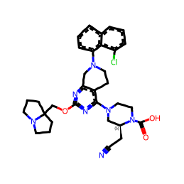 N#CC[C@H]1CN(c2nc(OCC34CCCN3CCC4)nc3c2CCN(c2cccc4cccc(Cl)c24)C3)CCN1C(=O)O